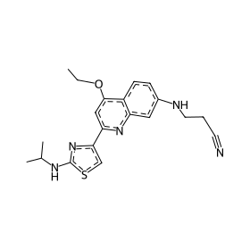 CCOc1cc(-c2csc(NC(C)C)n2)nc2cc(NCCC#N)ccc12